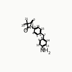 C=C1N(c2ccc(Cc3ccc(N)cc3)cc2)C(=O)C1(C)C